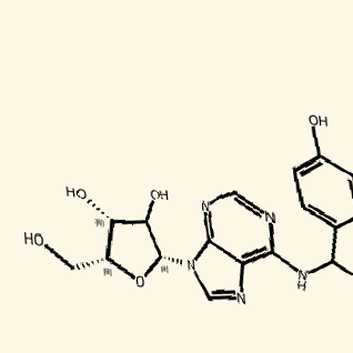 CCC(Nc1ncnc2c1ncn2[C@@H]1O[C@H](CO)[C@H](O)C1O)c1ccc(O)cc1